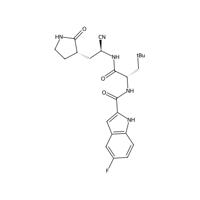 CC(C)(C)C[C@H](NC(=O)c1cc2cc(F)ccc2[nH]1)C(=O)N[C@H](C#N)C[C@@H]1CCNC1=O